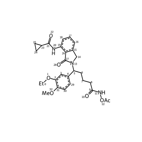 CCOc1cc(C(CCCC(=O)NOC(C)=O)N2Cc3cccc(NC(=O)C4CC4)c3C2=O)ccc1OC